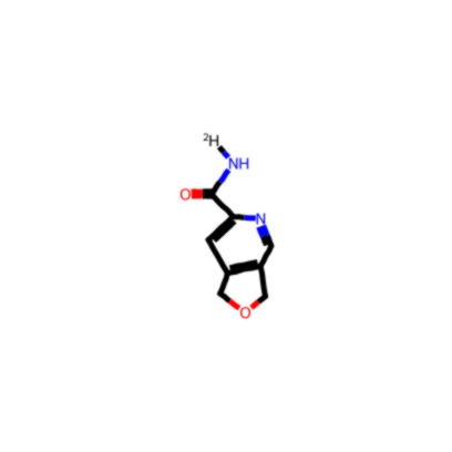 [2H]NC(=O)c1cc2c(cn1)COC2